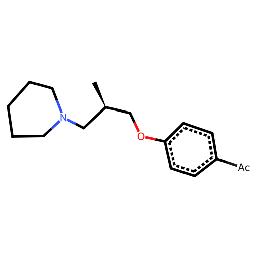 CC(=O)c1ccc(OC[C@H](C)CN2CCCCC2)cc1